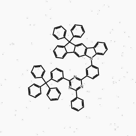 c1ccc(-c2nc(-c3cccc(-n4c5ccccc5c5cc6c(cc54)-c4ccccc4C6(c4ccccc4)c4ccccc4)c3)nc(-c3cccc(C(c4ccccc4)(c4ccccc4)c4ccccc4)c3)n2)cc1